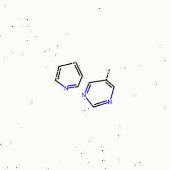 Cc1cncnc1.c1ccncc1